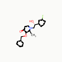 Cc1c(OCc2ccccc2)c(=O)ccn1C[C@H](O)c1cccc(F)c1